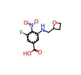 O=C(O)c1cc(F)c([N+](=O)[O-])c(NCC2CCO2)c1